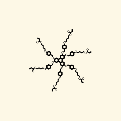 C=CC(=O)OCCCCOc1ccc(COc2cc3c4cc(OCc5ccc(OCCCCOC(=O)C=C)cc5)c(OCc5ccc(OCCCCOC(=O)C=C)cc5)cc4c4cc(OCc5ccc(OCCCCOC(=O)C=C)cc5)c(OCc5ccc(OCCCCOC(=O)C=C)cc5)cc4c3cc2OCc2ccc(OCCCCOC(=O)C=C)cc2)cc1